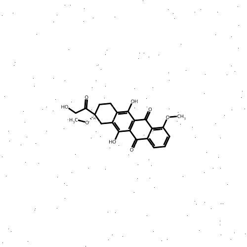 COc1cccc2c1C(=O)c1c(O)c3c(c(O)c1C2=O)C[C@@](OC)(C(=O)CO)CC3